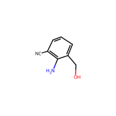 N#Cc1cccc(CO)c1N